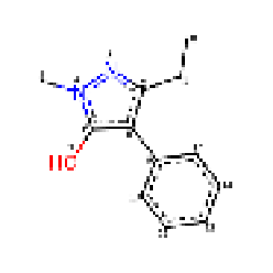 CCc1nn(C)c(O)c1-c1ccccc1